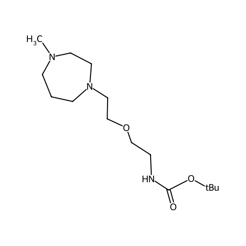 CN1CCCN(CCOCCNC(=O)OC(C)(C)C)CC1